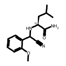 COc1ccccc1C(C#N)N[C@@H](CC(C)C)C(N)=O